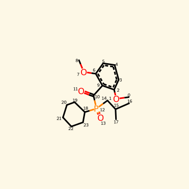 COc1cccc(OC)c1C(=O)P(=O)(CC(C)C)C1CCCCC1